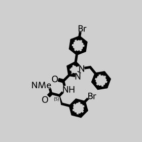 CNC(=O)[C@H](Cc1cccc(Br)c1)NC(=O)c1cc(-c2ccc(Br)cc2)n(Cc2ccccc2)n1